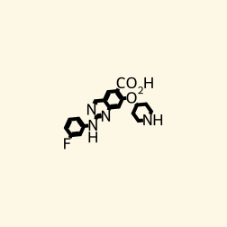 O=C(O)c1cc2cnc(Nc3cccc(F)c3)nc2cc1OC1CCNCC1